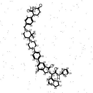 O=C1CCC(c2ccc(CN3CCC(N4CCN(c5ccc(-c6cc(F)c7c(c6)C(=O)N(C(C(=O)Nc6nccs6)c6ncn8c6CCC8)C7)cc5)CC4)C(F)(F)C3)cc2)C(=O)N1